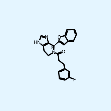 O=C(CCc1cccc(F)c1)N1CCc2[nH]cnc2[C@H]1c1cc2ccccc2o1